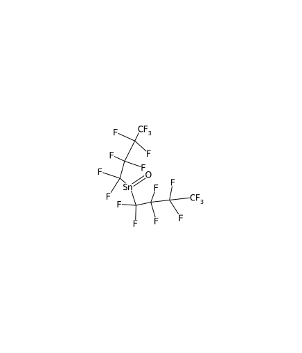 [O]=[Sn]([C](F)(F)C(F)(F)C(F)(F)C(F)(F)F)[C](F)(F)C(F)(F)C(F)(F)C(F)(F)F